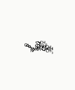 Cc1csc2nc(Nc3cnn(C4CC5(COC5)C4)c3)nc(Nc3cccc(C(C)(C)O)n3)c12